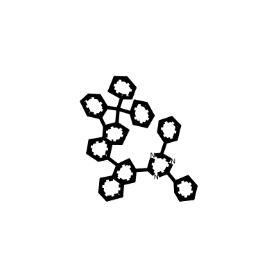 c1ccc(-c2nc(-c3ccccc3)nc(-c3cc(-c4cccc5c6c(ccc45)C(c4ccccc4)(c4ccccc4)c4ccccc4-6)c4ccccc4c3)n2)cc1